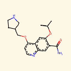 CC(C)Oc1cc2c(OCC3CCNC3)ccnc2cc1C(N)=O